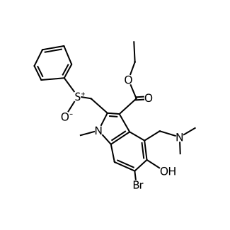 CCOC(=O)c1c(C[S+]([O-])c2ccccc2)n(C)c2cc(Br)c(O)c(CN(C)C)c12